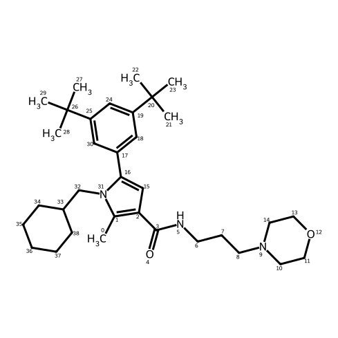 Cc1c(C(=O)NCCCN2CCOCC2)cc(-c2cc(C(C)(C)C)cc(C(C)(C)C)c2)n1CC1CCCCC1